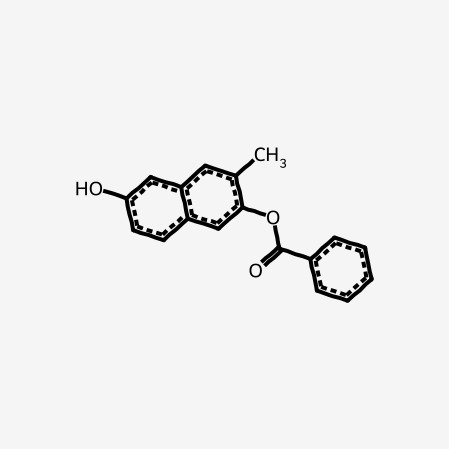 Cc1cc2cc(O)ccc2cc1OC(=O)c1ccccc1